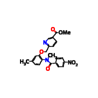 COC(=O)c1ccc(COc2cc(C)ccc2N(C)C(=O)c2ccc([N+](=O)[O-])cc2)nc1